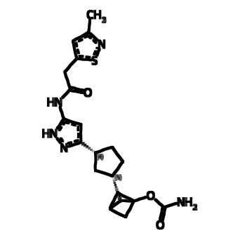 Cc1cc(CC(=O)Nc2cc([C@@H]3CC[C@H](C4C5CC4(OC(N)=O)C5)C3)n[nH]2)sn1